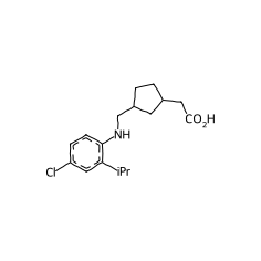 CC(C)c1cc(Cl)ccc1NCC1CCC(CC(=O)O)C1